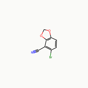 N#Cc1c(Br)ccc2c1OCO2